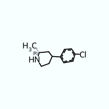 C[C@@H]1CC(c2ccc(Cl)cc2)CCN1